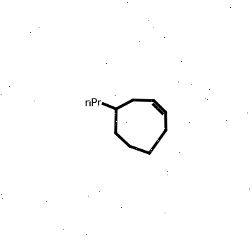 CCCC1CC=CCCCC1